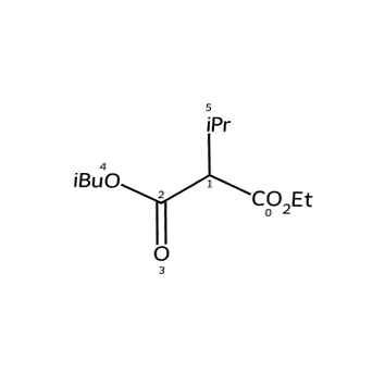 CCOC(=O)C(C(=O)OCC(C)C)C(C)C